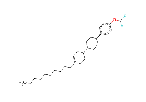 CCCCCCCCCCC1=CCC([C@H]2CC[C@H](c3ccc(OC(F)F)cc3)CC2)CC1